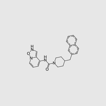 O=C(NC1=CC=CN2ONC=C12)N1CCC(Cc2ccc3ccccc3c2)CC1